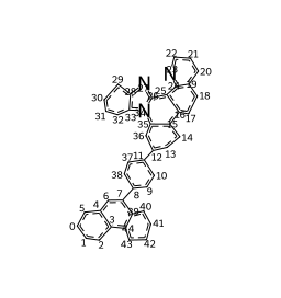 c1ccc2c(c1)cc(-c1ccc(-c3ccc4c5ccc6cccnc6c5c5nc6ccccc6n5c4c3)cc1)c1ccccc12